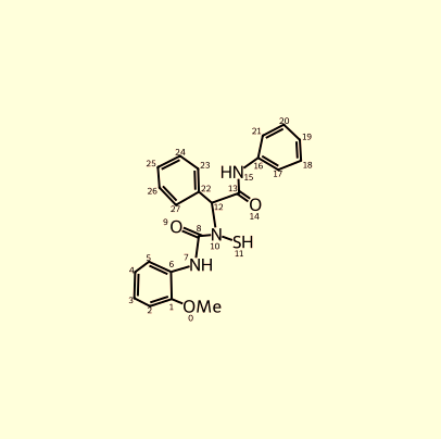 COc1ccccc1NC(=O)N(S)C(C(=O)Nc1ccccc1)c1ccccc1